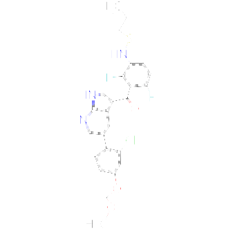 CCCSNc1ccc(F)c(C(=O)c2c[nH]c3ncc(-c4ccc(OCOC)cc4Cl)cc23)c1F